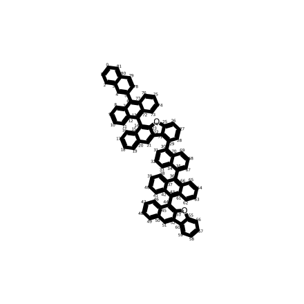 c1ccc2cc(-c3c4ccccc4c(-c4c5ccccc5cc5c4oc4cccc(-c6cccc7c(-c8c9ccccc9c(-c9c%10ccccc%10cc%10c9oc9ccccc9%10)c9ccccc89)cccc67)c45)c4ccccc34)ccc2c1